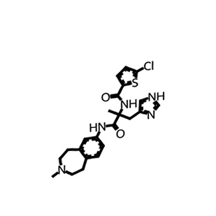 CN1CCc2ccc(NC(=O)C(C)(Cc3c[nH]cn3)NC(=O)c3ccc(Cl)s3)cc2CC1